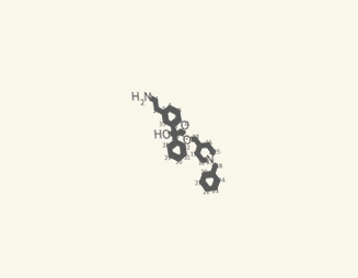 NCCc1cccc(C(O)(C(=O)OCC2CCN(Cc3ccccc3)CC2)c2ccccc2)c1